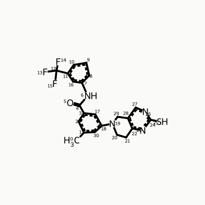 Cc1cc(C(=O)Nc2cccc(C(F)(F)F)c2)cc(N2CCc3nc(S)ncc3C2)c1